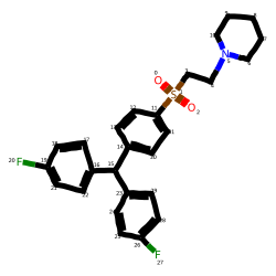 O=S(=O)(CCN1CCCCC1)c1ccc(C(c2ccc(F)cc2)c2ccc(F)cc2)cc1